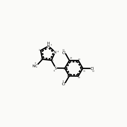 N#Cc1c[nH]nc1Sc1c(Cl)cc(Cl)cc1Cl